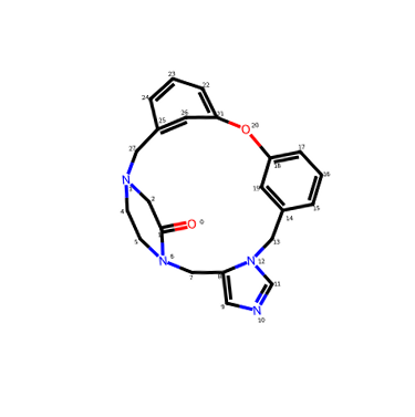 O=C1CN2CCN1Cc1cncn1Cc1cccc(c1)Oc1cccc(c1)C2